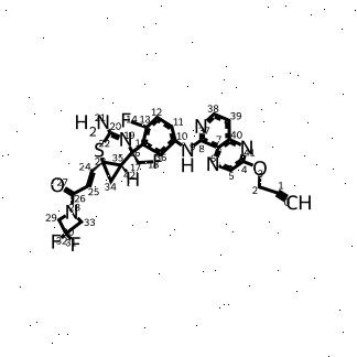 C#CCOc1cnc2c(Nc3ccc(F)c([C@@]4(CF)N=C(N)S[C@@]5(/C=C/C(=O)N6CC(F)(F)C6)C[C@H]54)c3)nccc2n1